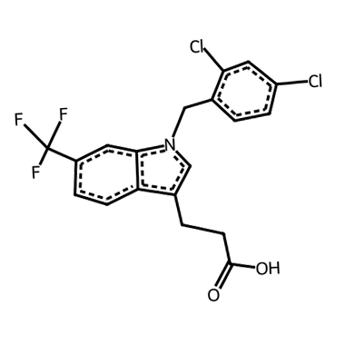 O=C(O)CCc1cn(Cc2ccc(Cl)cc2Cl)c2cc(C(F)(F)F)ccc12